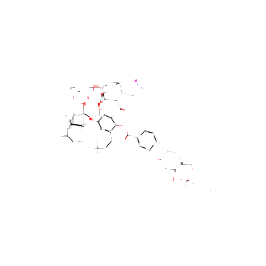 COC(=O)/C(C)=C\CC12OC(C)(C)C3CC(C1=O)C(C[N+](=O)[O-])C1C(=O)c4c(OC(=O)c5ccc(O[C@@H]6O[C@@H]7COC(C)(C)O[C@H]7[C@@H](O)[C@H]6O)cc5)c5c(c(CC=C(C)C)c4OC132)OC(C)(CCC=C(C)C)C=C5